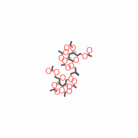 C=C(COC1OC(COC(C)=O)[C@@H](OC(C)=O)C(OC(C)=O)[C@H]1OC(C)=O)COC1OC(COC(C)=O)[C@@H](OC(C)=O)C(OC(C)=O)[C@H]1OC(C)=O